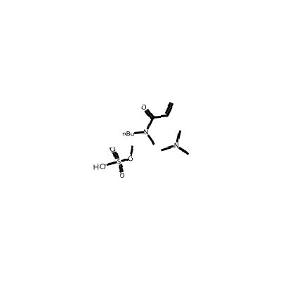 C=CC(=O)N(C)CCCC.CN(C)C.COS(=O)(=O)O